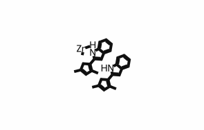 CC1=CC(C)=C(c2cc3ccccc3[nH]2)C1.CC1=CC(C)=C(c2cc3ccccc3[nH]2)C1.[CH3][Zr][CH3]